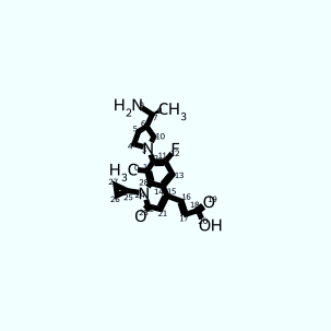 Cc1c(N2CCC([C@H](C)N)C2)c(F)cc2c(C=CC(=O)O)cc(=O)n(C3CC3)c12